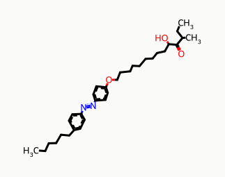 CCCCCCc1ccc(/N=N/c2ccc(OCCCCCCCCCC(O)C(=O)C(C)CC)cc2)cc1